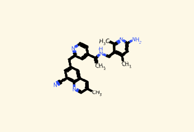 C=C(NCc1c(C)cc(N)nc1C)c1ccnc(Cc2cc(C#N)c3ncc(C)cc3c2)c1